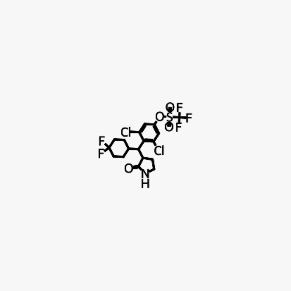 O=C1NCCC1C(c1c(Cl)cc(OS(=O)(=O)C(F)(F)F)cc1Cl)C1CCC(F)(F)CC1